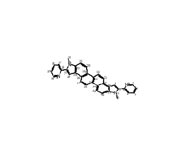 Cn1c(-c2ccccn2)cc2c3ccc4c(ccc5c4ccc4c5cc(-c5ccccn5)n4C)c3ccc21